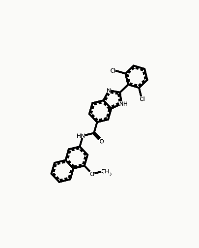 COc1cc(NC(=O)c2ccc3nc(-c4c(Cl)cccc4Cl)[nH]c3c2)cc2ccccc12